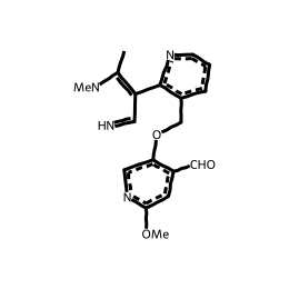 CN/C(C)=C(\C=N)c1ncccc1COc1cnc(OC)cc1C=O